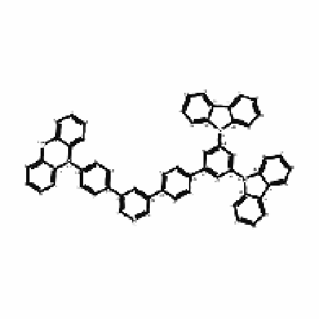 c1ccc2c(c1)Oc1ccccc1N2c1ccc(-c2cncc(-c3ccc(-c4cc(-n5c6ccccc6c6ccccc65)cc(-n5c6ccccc6c6ccccc65)c4)cc3)c2)cc1